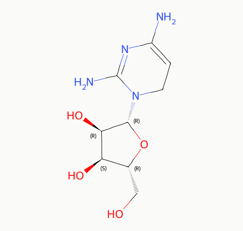 NC1=CCN([C@@H]2O[C@H](CO)[C@@H](O)[C@H]2O)C(N)=N1